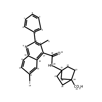 Cc1c(-c2ccccc2)nc2ccc(I)cc2c1C(=O)NC12CCC(C(=O)O)(CC1)C2